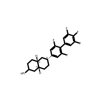 CCCC1CC[C@@H]2C[C@H](c3cc(F)c(-c4cc(F)c(F)c(F)c4)c(F)c3)CC[C@@H]2C1